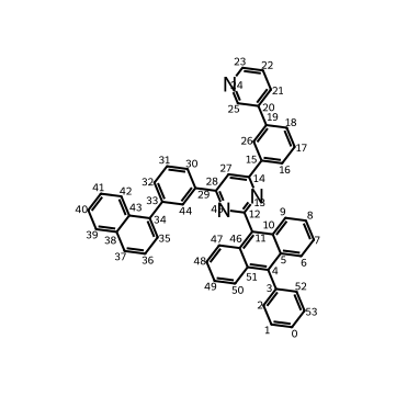 c1ccc(-c2c3ccccc3c(-c3nc(-c4cccc(-c5cccnc5)c4)cc(-c4cccc(-c5cccc6ccccc56)c4)n3)c3ccccc23)cc1